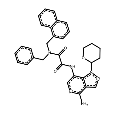 Nc1ncc(NC(=O)C(=O)N(Cc2ccccc2)Cc2cccc3ccccc23)c2c1cnn2C1CCCCO1